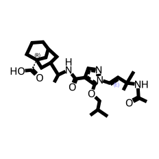 CC(=O)NC(C)(C)/C=C/n1ncc(C(=O)NC(C)C2CC3CCC[C@@](C(=O)O)(C3)C2)c1OCC(C)C